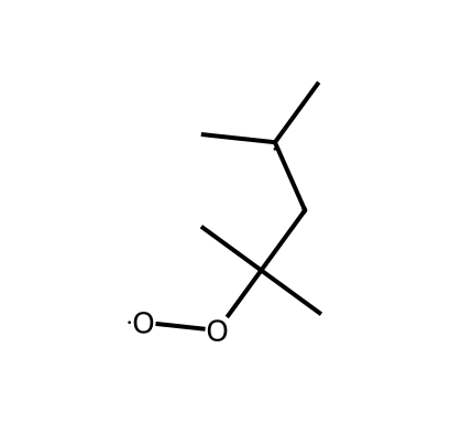 C[C](C)CC(C)(C)O[O]